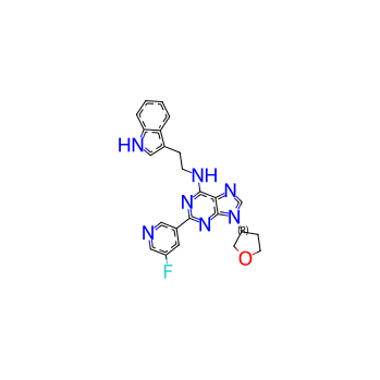 Fc1cncc(-c2nc(NCCc3c[nH]c4ccccc34)c3ncn([C@@H]4CCOC4)c3n2)c1